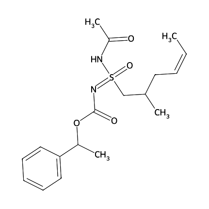 C/C=C\CC(C)CS(=O)(=NC(=O)OC(C)c1ccccc1)NC(C)=O